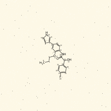 CCCOc1cc(-c2cn[nH]c2)ccc1NC(=O)C(O)c1ccc(F)cc1